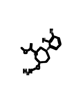 C=C(OC)N1C[C@H](ON)CC[C@@H](c2cccc(F)c2F)C1